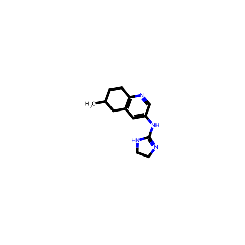 CC1CCc2ncc(NC3=NCCN3)cc2C1